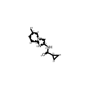 O=C(Nc1cn2cc(I)ccc2n1)C1CC1